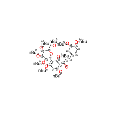 CCCCOCC1OC(c2c(OCCCC)cc(OCCCC)c(C(=O)CCc3ccc(OCCCC)c(OCCCC)c3)c2OCCCC)C(OCCCC)C(OCCCC)C1OCCCC